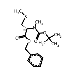 CSC[C@@H](C(=O)OCc1ccccc1)N(C)C(=O)OC(C)(C)C